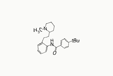 CN1CCCCC1CCc1ccccc1NC(=O)c1ccc(C(C)(C)C)cc1